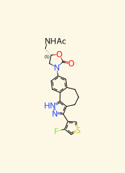 CC(=O)NC[C@H]1CN(c2ccc3c(c2)CCCc2c(-c4cscc4F)n[nH]c2-3)C(=O)O1